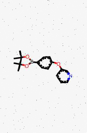 CC1(C)OB(c2ccc(Oc3cccnc3)cc2)OC1(C)C